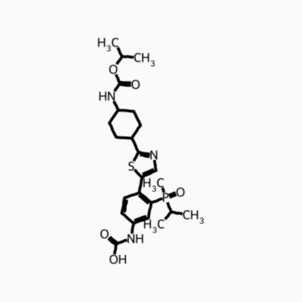 CC(C)OC(=O)NC1CCC(c2ncc(-c3ccc(NC(=O)O)cc3P(C)(=O)C(C)C)s2)CC1